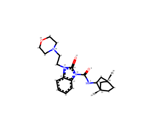 O=C(NC1C[C@@H]2CC[C@H]1C2)n1c(=O)n(CCN2CCOCC2)c2ccccc21